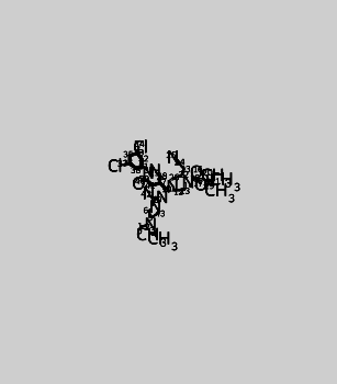 CCN(CC)C1CN(c2nc(N3CCN(C(=O)OC(C)(C)C)C(CC#N)C3)c3cnn(-c4cc(Cl)cc(Cl)c4)c(=O)c3n2)C1